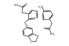 NC(=O)Cc1ccc(N)cc1.O=C(O)Oc1cncnc1Oc1ccc2c(c1)OCO2